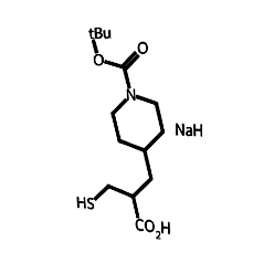 CC(C)(C)OC(=O)N1CCC(CC(CS)C(=O)O)CC1.[NaH]